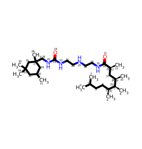 CC(C)CC[C@H](C)[C@H](C)[C@H](C)C[C@H](C)C(=O)NCCNCCNC(=O)NCC1(C)CC(C)CC(C)(C)C1